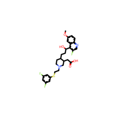 COc1ccc2ncc(F)c(C(O)CCC3CCN(CCSc4cc(F)cc(F)c4)CC3CC(=O)O)c2c1